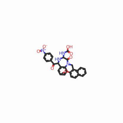 COc1ccc2ccccc2c1CN1C(=O)C(NC(=O)O)NC(C(=O)c2ccc([N+](=O)[O-])cc2)c2ccccc21